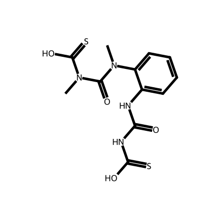 CN(C(=O)N(C)c1ccccc1NC(=O)NC(O)=S)C(O)=S